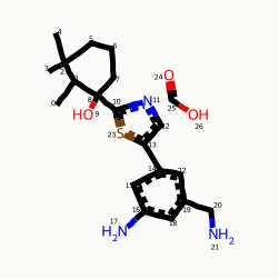 CC1C(C)(C)CCCC1(O)c1ncc(-c2cc(N)cc(CN)c2)s1.O=CO